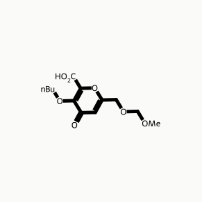 CCCCOc1c(C(=O)O)oc(COCOC)cc1=O